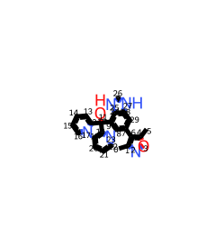 Cc1noc(C)c1-c1cc(C(O)(c2ccccn2)c2ccccn2)c2nc[nH]c2c1